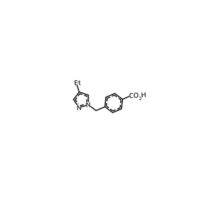 CCc1cnn(Cc2ccc(C(=O)O)cc2)c1